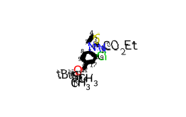 CCOC(=O)/N=c1\sccn1-c1ccc(CO[Si](C)(C)C(C)(C)C)cc1Cl